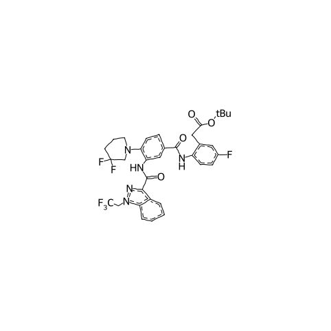 CC(C)(C)OC(=O)Cc1cc(F)ccc1NC(=O)c1ccc(N2CCCC(F)(F)C2)c(NC(=O)c2nn(CC(F)(F)F)c3ccccc23)c1